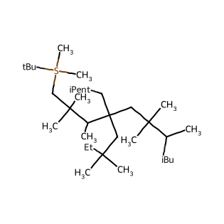 CCCC(C)CC(CC(C)(C)CC)(CC(C)(C)C(C)C(C)CC)C(C)C(C)(C)CS(C)(C)C(C)(C)C